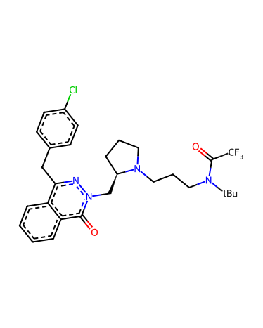 CC(C)(C)N(CCCN1CCC[C@@H]1Cn1nc(Cc2ccc(Cl)cc2)c2ccccc2c1=O)C(=O)C(F)(F)F